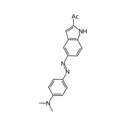 CC(=O)c1cc2cc(/N=N/c3ccc(N(C)C)cc3)ccc2[nH]1